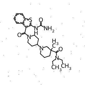 CCN(CC)C(=O)C1(C)CCCN(C2CCN(C(=O)c3c(NC(N)=O)sc4ccccc34)CC2)C1